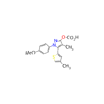 COc1ccc(-n2nc(OC(=O)O)c(C)c2-c2cc(C)cs2)cc1